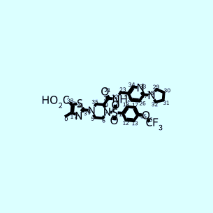 Cc1nc(N2CCN(S(=O)(=O)c3ccc(OC(F)(F)F)cc3)C(C(=O)NCc3ccc(N4CCCC4)nc3)C2)sc1C(=O)O